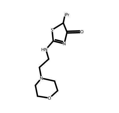 CC(C)C1SC(NCCN2CCOCC2)=NC1=O